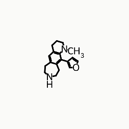 CN1CCCc2cc3c(c(-c4ccoc4)c21)CCNCC3